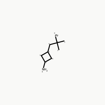 CC(C)C(C)(C)CC1CC(N)C1